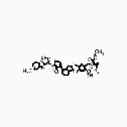 CCOC(=O)C1(N(C)Cc2cc(Cl)c(OC3CCc4c(-c5cccc(NC(=O)c6nc7c(n6C)CCN(C)C7)c5Cl)cccc43)cc2OC)CC1